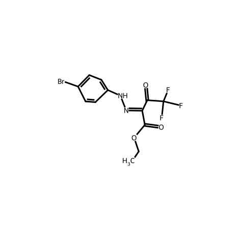 CCOC(=O)/C(=N/Nc1ccc(Br)cc1)C(=O)C(F)(F)F